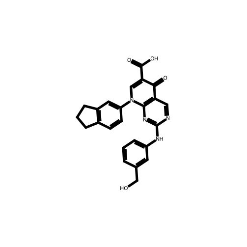 O=C(O)c1cn(-c2ccc3c(c2)CCC3)c2nc(Nc3cccc(CO)c3)ncc2c1=O